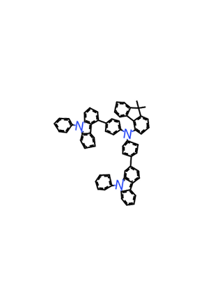 CC1(C)c2ccccc2-c2c(N(c3ccc(-c4ccc5c6ccccc6n(-c6ccccc6)c5c4)cc3)c3ccc(-c4cccc5c4c4ccccc4n5-c4ccccc4)cc3)cccc21